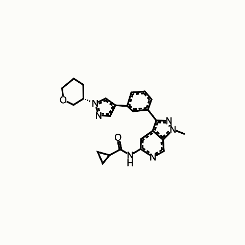 Cn1nc(-c2cccc(-c3cnn([C@H]4CCCOC4)c3)c2)c2cc(NC(=O)C3CC3)ncc21